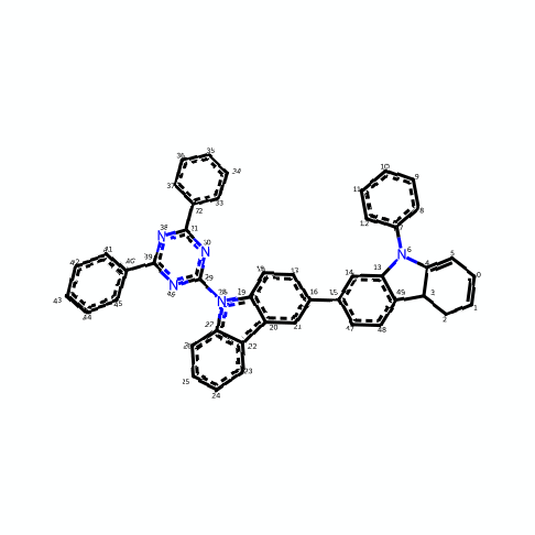 C1=CCC2C(=C1)N(c1ccccc1)c1cc(-c3ccc4c(c3)c3ccccc3n4-c3nc(-c4ccccc4)nc(-c4ccccc4)n3)ccc12